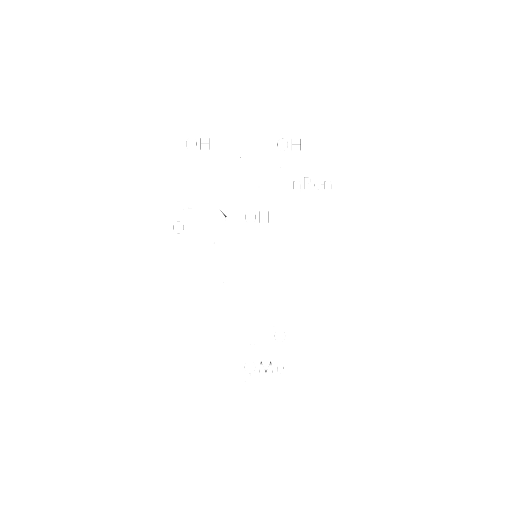 CCCCCC(O)C=C[C@H]1C(O)CC(=O)[C@@H]1C(O)CCCCCC(=O)OC